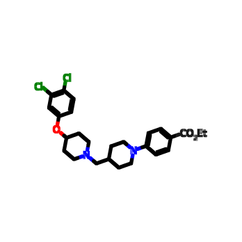 CCOC(=O)c1ccc(N2CCC(CN3CCC(Oc4ccc(Cl)c(Cl)c4)CC3)CC2)cc1